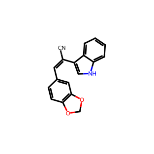 N#CC(=Cc1ccc2c(c1)OCO2)c1c[nH]c2ccccc12